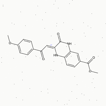 COC(=O)c1ccc2c(c1)NC(=O)/C(=C/C(=O)c1ccc(OC)cc1)N2